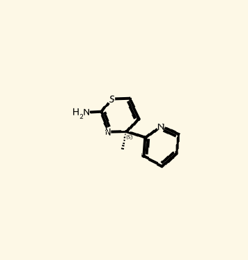 C[C@@]1(c2ccccn2)C=CSC(N)=N1